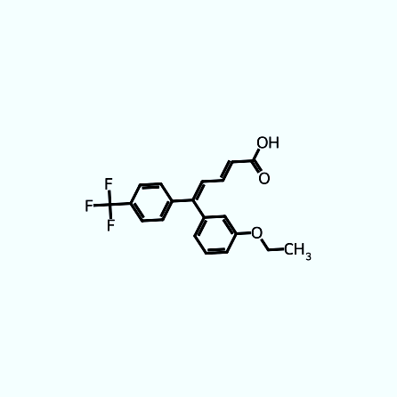 CCOc1cccc(/C(=C\C=C\C(=O)O)c2ccc(C(F)(F)F)cc2)c1